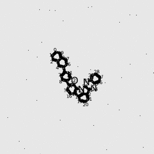 c1ccc2cc(-c3ccc4c(c3)oc3c4ccc4c5cccc6c7nc8ccccc8nc7n(c56)c43)ccc2c1